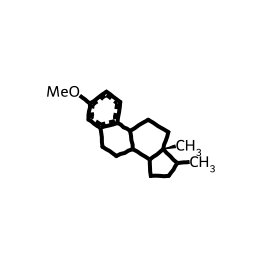 COc1ccc2c(c1)CCC1C2CC[C@]2(C)C(C)CCC12